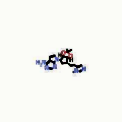 Cn1cncc1/C=C/[C@H]1C[C@@H](n2ccc3c(N)ncnc32)[C@@H]2OC(C)(C)O[C@@H]21